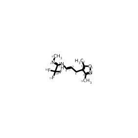 C/N=C(\N/C=C/Cc1c(C)noc1C)C(F)(F)F